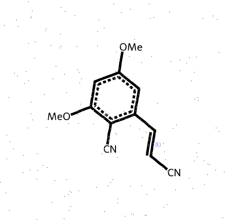 COc1cc(/C=C/C#N)c(C#N)c(OC)c1